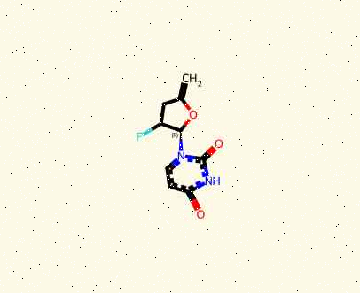 C=C1CC(F)[C@H](n2ccc(=O)[nH]c2=O)O1